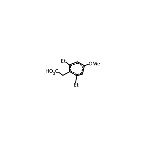 CCc1cc(OC)cc(CC)c1CC(=O)O